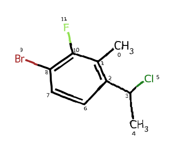 Cc1c(C(C)Cl)ccc(Br)c1F